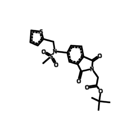 CC(C)(C)OC(=O)CN1C(=O)c2ccc(N(Cc3cccs3)S(C)(=O)=O)cc2C1=O